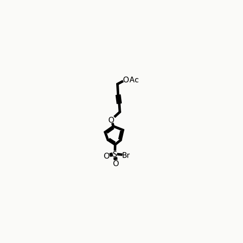 CC(=O)OCC#CCOc1ccc(S(=O)(=O)Br)cc1